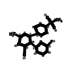 Cc1cc(-c2ccc(S(C)(=O)=O)cc2)c(-c2cccc(F)c2)c(=O)o1